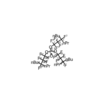 CCCCC(F)(CCC)C(F)(F)C(F)(F)OP(=O)(OC(F)(F)C(F)(F)C(F)(CCC)CCCC)OC(F)(F)C(F)(F)C(F)(CCC)CCCC